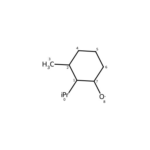 CC(C)C1C(C)CCCC1[O]